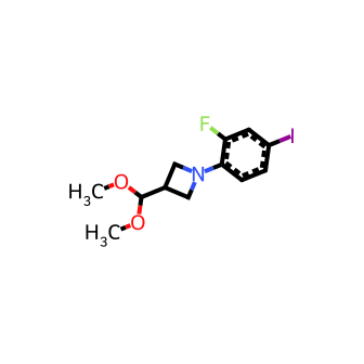 COC(OC)C1CN(c2ccc(I)cc2F)C1